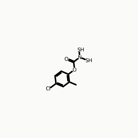 Cc1cc(Cl)ccc1OC(=O)N(S)S